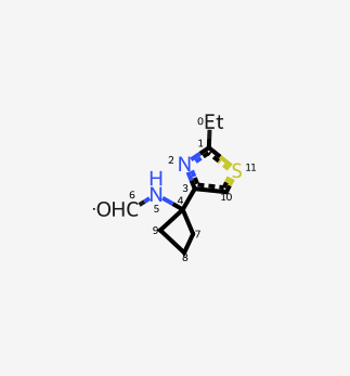 CCc1nc(C2(N[C]=O)CCC2)cs1